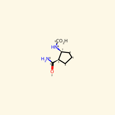 NC(=O)[C@@H]1CCC[C@@H]1NC(=O)O